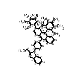 Bc1c(B)c(B)c(-c2ccc3c(-c4ccc(-n5c(CC)nc6ccccc65)cc4)c4ccccc4c(-c4c(B)c(B)c(B)c(B)c4B)c3c2)c(B)c1B